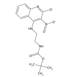 CC(C)(C)OC(=O)NCCNc1c([N+](=O)[O-])c(Cl)nc2ccccc12